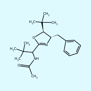 CC(=O)NC(C1=N[C@@H](Cc2ccccc2)[C@H](C(C)(C)C)O1)C(C)(C)C